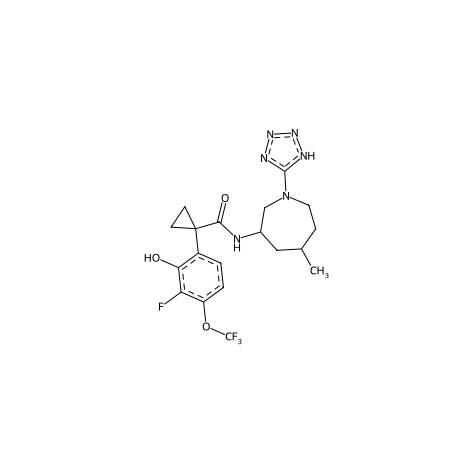 CC1CCN(c2nnn[nH]2)CC(NC(=O)C2(c3ccc(OC(F)(F)F)c(F)c3O)CC2)C1